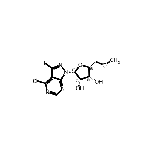 COC[C@H]1O[C@@H](n2nc(I)c3c(Cl)ncnc32)[C@@H](O)[C@H]1O